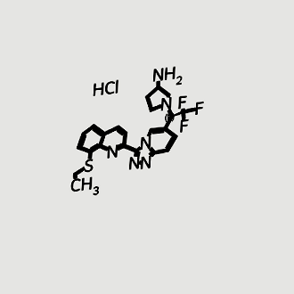 CCSc1cccc2ccc(-c3nnc4ccc([C@@H](N5CCC(N)C5)C(F)(F)F)cn34)nc12.Cl